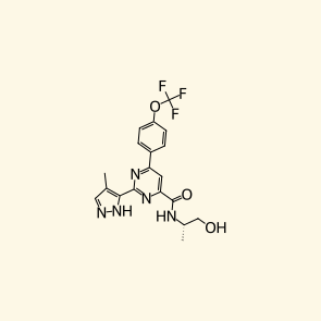 Cc1cn[nH]c1-c1nc(C(=O)N[C@@H](C)CO)cc(-c2ccc(OC(F)(F)F)cc2)n1